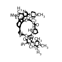 CCn1c(-c2cc(N3CCN(C)CC3)cnc2[C@H](C)OC)c2c3cc(ccc31)-c1csc(n1)C[C@H](NC(=O)[C@H](C(C)C)N(C)C(=O)N1C[C@@H](C)N(C)C[C@H]1C)C(=O)N1CCC[C@H](N1)C(=O)OCC(C)(C)C2